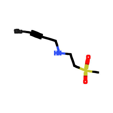 CC(C)(C)C#CCNCCS(C)(=O)=O